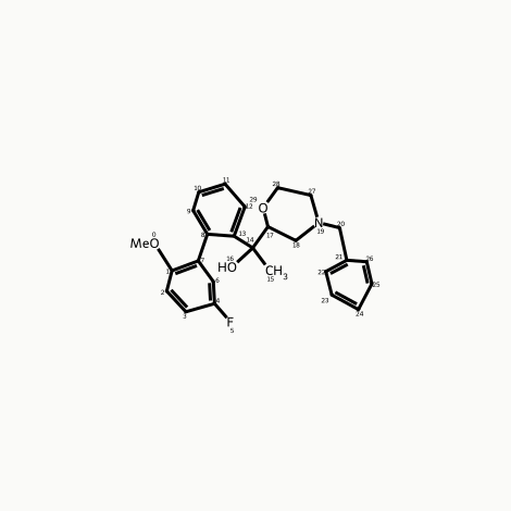 COc1ccc(F)cc1-c1ccccc1C(C)(O)C1CN(Cc2ccccc2)CCO1